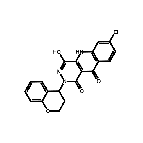 O=c1c2ccc(Cl)cc2[nH]c2c(O)nn(C3CCOc4ccccc43)c(=O)c12